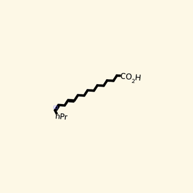 CCC/C=C\CC=CCCCCCCCCCC(=O)O